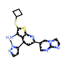 Cn1nccc1-c1cc(-c2cnc3nccn3c2)nc2sc(SC3CCC3)c(N)c12